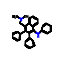 CN(C)Cc1c(-c2ccccc2)c(-c2ccccc2)c(Nc2ccccc2)c2ccccc12